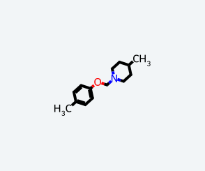 Cc1ccc(OCN2CCC(C)CC2)cc1